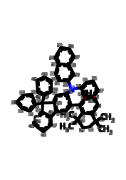 Cc1ccc2c(c1-c1cc3c(cc1N(c1ccccc1)c1ccc4ccccc4c1)C(c1ccccc1)(c1ccccc1)c1ccccc1-3)C(C)(C)CCC2(C)C